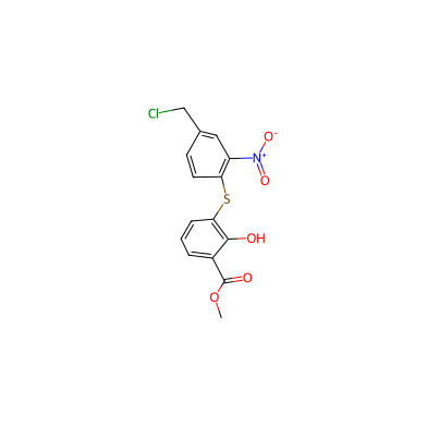 COC(=O)c1cccc(Sc2ccc(CCl)cc2[N+](=O)[O-])c1O